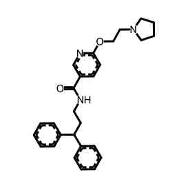 O=C(NCCC(c1ccccc1)c1ccccc1)c1ccc(OCCN2CCCC2)nc1